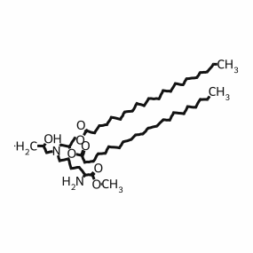 [CH2]C(O)CN(CCCCC(N)C(=O)OC)CC(COC(=O)CCCCCCCCCCCCCCCCCCCCC)OC(=O)CCCCCCCCCCCCCCCCCCCCC